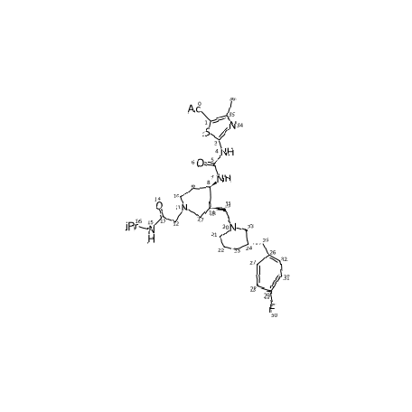 CC(=O)c1sc(NC(=O)N[C@@H]2CCN(CC(=O)NC(C)C)C[C@@H]2CN2CCC[C@@H](Cc3ccc(F)cc3)C2)nc1C